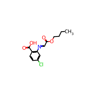 CCCCOC(=O)C=Nc1cc(Cl)ccc1C(=O)O